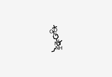 CCCNc1cc(C)n(C2CCN(C(=O)OC(C)(C)C)CC2)n1